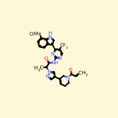 C=CC(=O)N1CCC=C(c2cnn(C(C)C(=O)Nc3ncc(C(F)(F)F)c(-c4c[nH]c5c(OC)cccc45)n3)c2)C1